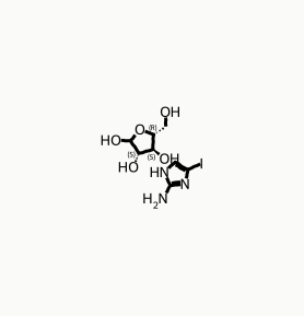 Nc1nc(I)c[nH]1.OC[C@H]1OC(O)[C@@H](O)[C@@H]1O